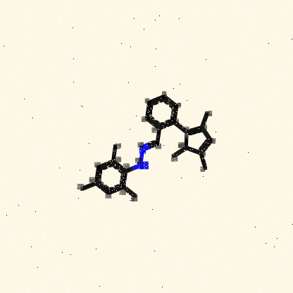 CC1=CC(C)=C(c2ccccc2C=NNc2c(C)cc(C)cc2C)C1C